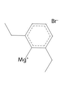 CCc1cccc(CC)[c]1[Mg+].[Br-]